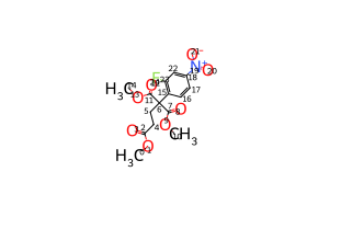 COC(=O)CCC(C(=O)OC)(C(=O)OC)c1ccc([N+](=O)[O-])cc1F